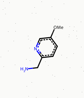 COc1ccc(CN)nc1